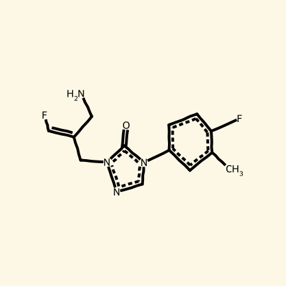 Cc1cc(-n2cnn(C/C(=C/F)CN)c2=O)ccc1F